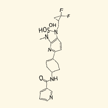 CN1c2nc(C3=CCC(NC(=O)c4cccnc4)CC3)ccc2N(CC2CC2(F)F)S1(O)O